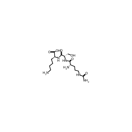 NCCCC[C@H](NC(=O)[C@H](CO)NC(=O)[C@@H](N)CCCNC(N)=O)C(=O)O